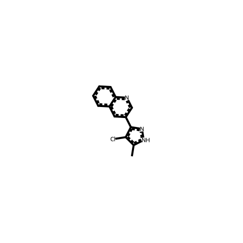 Cc1[nH]nc(-c2cnc3ccccc3c2)c1Cl